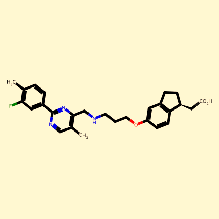 Cc1ccc(-c2ncc(C)c(CNCCCOc3ccc4c(c3)CC[C@H]4CC(=O)O)n2)cc1F